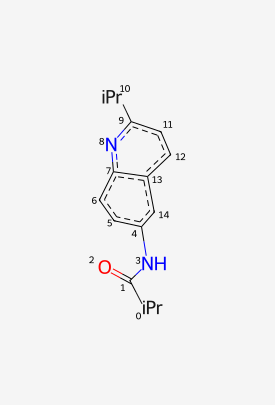 CC(C)C(=O)Nc1ccc2nc(C(C)C)ccc2c1